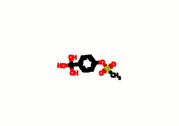 CS(=O)(=O)Oc1ccc(C(O)(O)O)cc1